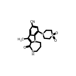 Cc1c2n(c3c(N4CCS(=O)(=O)CC4)cc(C#N)cc13)CCCNC2=O